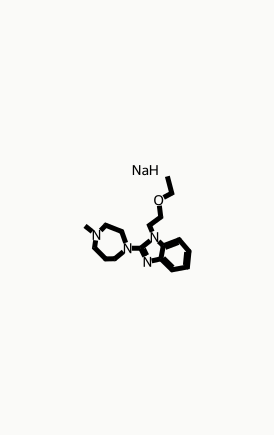 CCOCCn1c(N2CCCN(C)CC2)nc2ccccc21.[NaH]